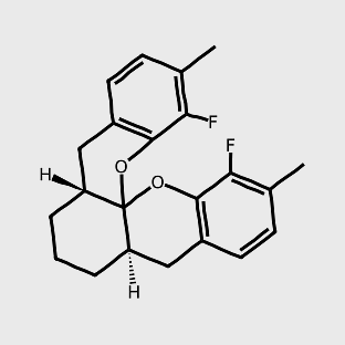 Cc1ccc2c(c1F)OC13Oc4c(ccc(C)c4F)C[C@H]1CCC[C@@H]3C2